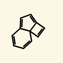 [C]1=CC2=CC=C3C=CC=CC123